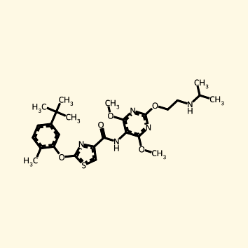 COc1nc(OCCNC(C)C)nc(OC)c1NC(=O)c1csc(Oc2cc(C(C)(C)C)ccc2C)n1